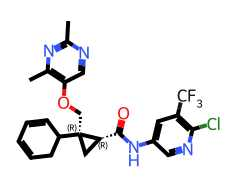 Cc1ncc(OC[C@@]2(C3C=CC=CC3)C[C@H]2C(=O)Nc2cnc(Cl)c(C(F)(F)F)c2)c(C)n1